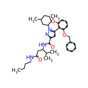 CCCCNC(=O)CC(NC(=O)c1cc(-c2c(OC)cccc2OCc2ccccc2)n(C2CCCC(C)C2)n1)C(C)C